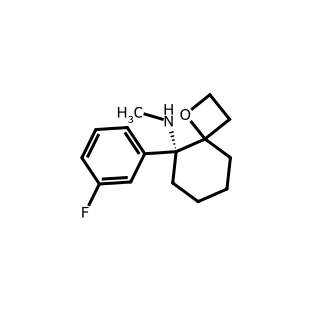 CN[C@@]1(c2cccc(F)c2)CCCCC12CCO2